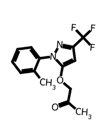 CC(=O)COc1cc(C(F)(F)F)nn1-c1ccccc1C